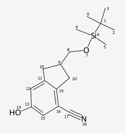 CC(C)(C)[Si](C)(C)OCC1Cc2cc(O)cc(C#N)c2C1